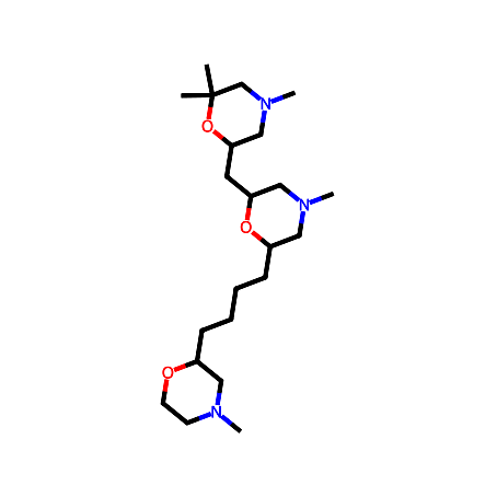 CN1CCOC(CCCCC2CN(C)CC(CC3CN(C)CC(C)(C)O3)O2)C1